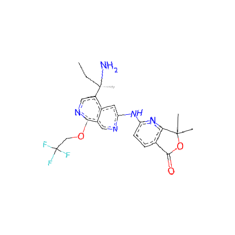 CC[C@@](C)(N)c1cnc(OCC(F)(F)F)c2cnc(Nc3ccc4c(n3)C(C)(C)OC4=O)cc12